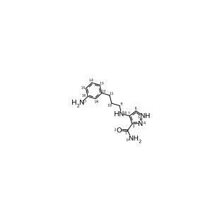 NC(=O)c1n[nH]cc1NCCCc1cccc(N)c1